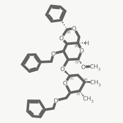 CO[C@H]1O[C@@H]2CO[C@@H](c3ccccc3)OC2C(OCc2ccccc2)C1O[C@H]1C[C@@H](C)[C@H](C)C(COCc2ccccc2)O1